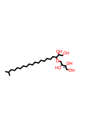 CC(C)CCCCCCCCCCCCCCCC(OC[C@H](O)[C@H](O)CO)C(O)CO